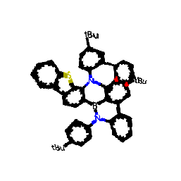 CC(C)(C)c1ccc(N2B3c4ccc5c(sc6ccccc65)c4N(c4ccc(C(C)(C)C)cc4-c4ccccc4)c4cc(C(C)(C)C)cc(c43)-c3ccccc32)cc1